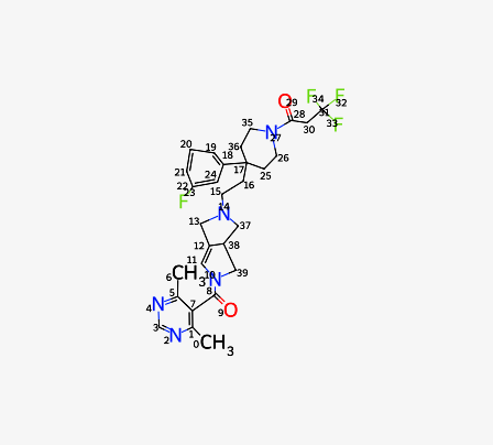 Cc1ncnc(C)c1C(=O)N1C=C2CN(CCC3(c4cccc(F)c4)CCN(C(=O)CC(F)(F)F)CC3)CC2C1